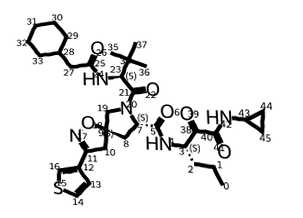 CCC[C@H](NC(=O)[C@@H]1C[C@]2(CC(c3ccsc3)=NO2)CN1C(=O)[C@@H](NC(=O)CC1CCCCC1)C(C)(C)C)C(=O)C(=O)NC1CC1